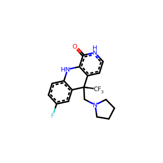 O=c1[nH]ccc2c1Nc1ccc(F)cc1C2(CN1CCCC1)C(F)(F)F